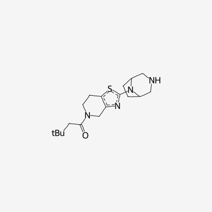 CC(C)(C)CC(=O)N1CCc2sc(N3C4CCC3CNC4)nc2C1